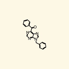 O=C(c1ccccc1)c1ncnc2c1ncn2Cc1ccccc1